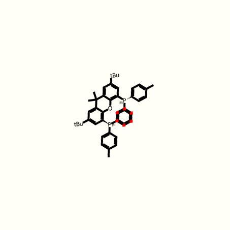 Cc1ccc([P@](c2ccccc2)c2cc(C(C)(C)C)cc3c2Oc2c([P@@](c4ccccc4)c4ccc(C)cc4)cc(C(C)(C)C)cc2C3(C)C)cc1